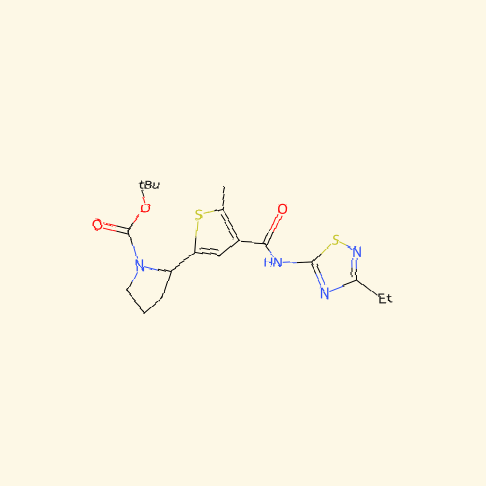 CCc1nsc(NC(=O)c2cc(C3CCCN3C(=O)OC(C)(C)C)sc2C)n1